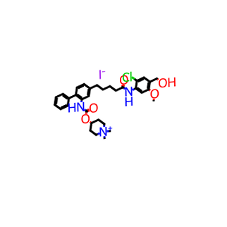 COc1cc(NC(=O)CCCCc2ccc(-c3ccccc3)c(NC(=O)OC3CC[N+](C)(C)CC3)c2)c(Cl)cc1CO.[I-]